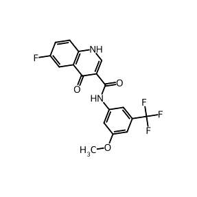 COc1cc(NC(=O)c2c[nH]c3ccc(F)cc3c2=O)cc(C(F)(F)F)c1